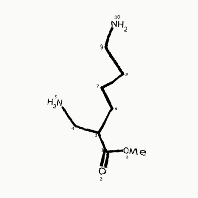 COC(=O)C(CN)CCCCN